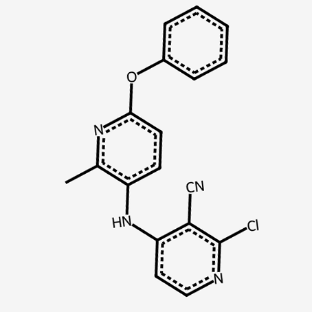 Cc1nc(Oc2ccccc2)ccc1Nc1ccnc(Cl)c1C#N